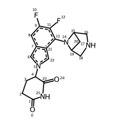 O=C1CCC(n2cc3cc(F)c(F)c(N4C5CNCC4C5)c3c2)C(=O)N1